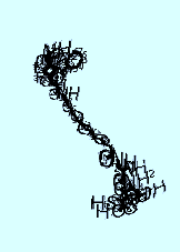 NC(CNC(=O)CCOCCOCCOCCOCCNC(=O)CCS(=O)(=O)c1c(F)c(F)c(S(N)(=O)=O)c(F)c1NC1CCCCCCC1)C(=O)NC(CC(=O)O)C(=O)NC(CS)C(=O)O